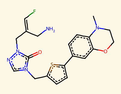 CN1CCOc2cc(-c3ccc(Cn4cnn(C/C(=C/F)CN)c4=O)s3)ccc21